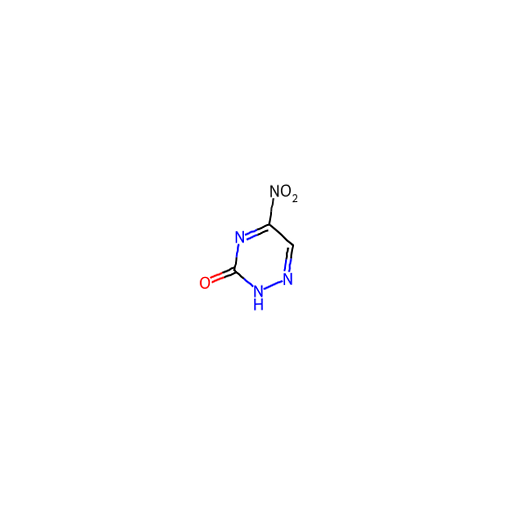 O=c1nc([N+](=O)[O-])cn[nH]1